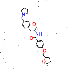 O=C(N[C@H]1COc2cc(CN3CCCC3)ccc2C1)c1ccc(OC[C@H]2CCCO2)cc1